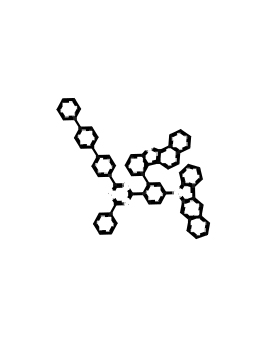 c1ccc(-c2ccc(-c3ccc(-c4nc(-c5ccccc5)nc(-c5ccc(-n6c7ccccc7c7cc8ccccc8cc76)cc5-c5cccc6sc7c8ccccc8ccc7c56)n4)cc3)cc2)cc1